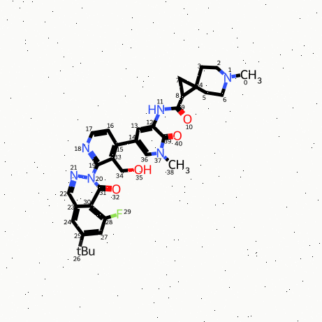 CN1CCC2(CC1)CC2C(=O)Nc1cc(-c2ccnc(-n3ncc4cc(C(C)(C)C)cc(F)c4c3=O)c2CO)cn(C)c1=O